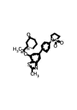 Cc1nc2cc(-c3ccc(N4CCCS4(=O)=O)cc3)cc(O[C@H](C)[C@H]3CCCC(=O)C3)c2s1